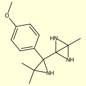 COc1ccc(C2(C34NC3(C)N4)NC2(C)C)cc1